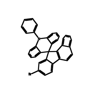 Brc1ccc2c(c1)C1(c3ccccc3N(c3ccccc3)c3ccccc31)c1c-2ccc2ccccc12